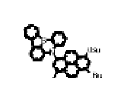 Cc1cc(N2c3ccccc3B3c4ccccc4-c4cccc2c43)c2ccc3c(C(C)(C)C)cc(C(C)(C)C)c4ccc1c2c43